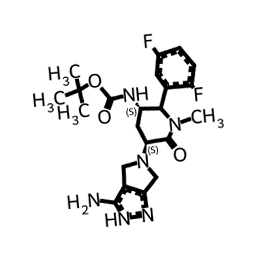 CN1C(=O)[C@@H](N2Cc3n[nH]c(N)c3C2)C[C@H](NC(=O)OC(C)(C)C)C1c1cc(F)ccc1F